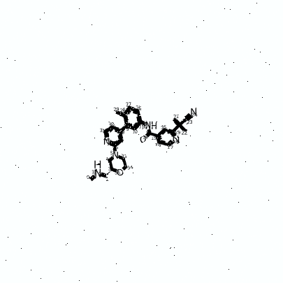 CNC[C@@H]1CN(c2cc(-c3cc(NC(=O)c4ccnc(C(C)(C)C#N)c4)ccc3C)ccn2)CCO1